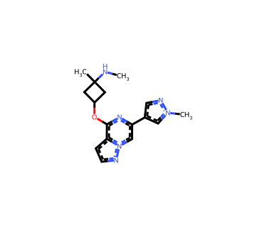 CNC1(C)CC(Oc2nc(-c3cnn(C)c3)cn3nccc23)C1